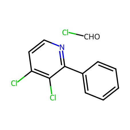 Clc1ccnc(-c2ccccc2)c1Cl.O=CCl